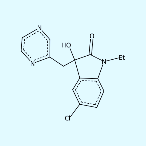 CCN1C(=O)C(O)(Cc2cnccn2)c2cc(Cl)ccc21